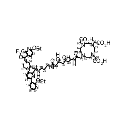 CCOc1ccc(C(=O)N2CCN(c3ccc(-c4cccnc4OCC)nc3CNCCCNC(=O)CC(O)CC(O)CCNC(=O)CN3CCN(CC(=O)O)CCN(CC(=O)O)CCN(CC(=O)O)CC3)[C@H](CC)C2)c(C(F)(F)F)n1